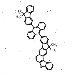 CC1(C)c2ccccc2-c2cc(-c3c4ccccc4c(-c4ccc5c(c4)-c4cc6ccc7sc8ccccc8c7c6cc4C5(C)C)c4ccccc34)ccc21